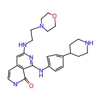 O=C1[N]C=Cc2cc(NCCN3CCOCC3)nc(Nc3ccc(C4CCNCC4)cc3)c21